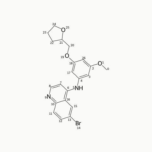 COc1cc(Nc2ccnc3ccc(Br)cc23)cc(OCC2CCCO2)c1